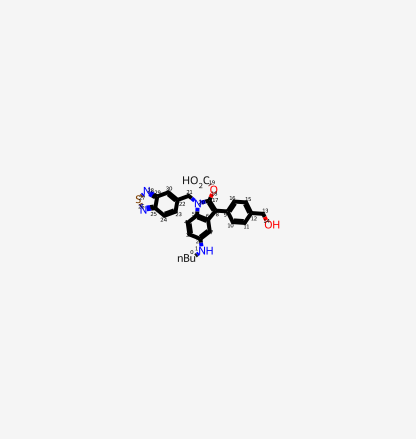 CCCCNc1ccc2c(c1)c(-c1ccc(CO)cc1)c(OC(=O)O)n2Cc1ccc2nsnc2c1